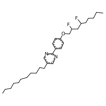 CCCCCCCCCCCc1cnc(-c2ccc(OCC(F)CC(F)CCCCC)cc2)nc1